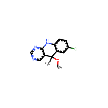 CCCOC1(C(F)(F)F)c2cc(Cl)ccc2Nc2ncncc21